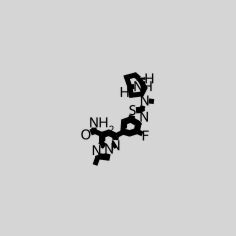 Cc1cn2nc(-c3cc(F)c4nc(N(C)[C@@H]5C[C@H]6CC[C@@H](C5)N6)sc4c3)cc(C(N)=O)c2n1